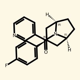 O=C(c1cccnc1)N1[C@@H]2CC[C@H]1C[C@@H](c1ccc(F)cc1)C2